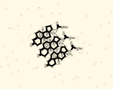 CCCCCCCCCCC(=O)O[C@H]1CC[C@H]2[C@@H]3CCC4=CC(=O)CC[C@]4(C)[C@H]3CC[C@]12C.CCCCCCCCCCC(=O)O[C@H]1CC[C@H]2[C@@H]3CCC4=CC(=O)CC[C@]4(C)[C@H]3CC[C@]12C.CCCCCCCCCCC(=O)O[C@H]1CC[C@H]2[C@@H]3CCC4=CC(=O)CC[C@]4(C)[C@H]3CC[C@]12C